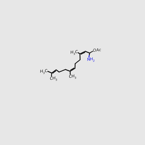 CC(=O)OC(N)C=C(C)CCC=C(C)CCC=C(C)C